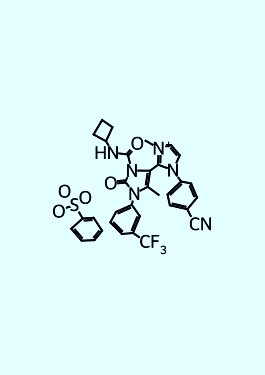 Cc1c(-c2n(-c3ccc(C#N)cc3)cc[n+]2C)n(C(=O)NC2CCC2)c(=O)n1-c1cccc(C(F)(F)F)c1.O=S(=O)([O-])c1ccccc1